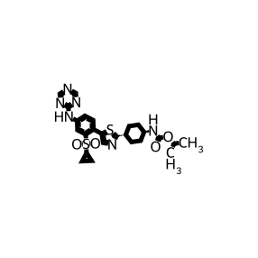 CC(C)OC(=O)N[C@H]1CC[C@H](c2ncc(-c3ccc(Nc4ncncn4)cc3S(=O)(=O)C3CC3)s2)CC1